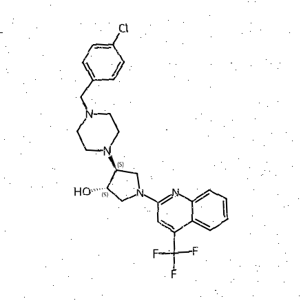 O[C@H]1CN(c2cc(C(F)(F)F)c3ccccc3n2)C[C@@H]1N1CCN(Cc2ccc(Cl)cc2)CC1